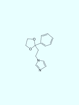 c1ccc(C2(CCn3ccnc3)OCCO2)cc1